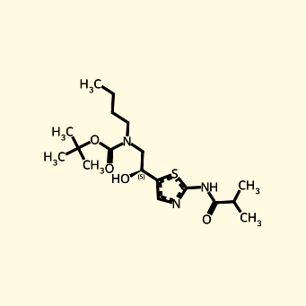 CCCCN(C[C@H](O)c1cnc(NC(=O)C(C)C)s1)C(=O)OC(C)(C)C